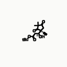 C#C[C@@]1([C@@H](O)CC(=O)OC(C)(C)C)CC(=O)C(C)(C)C1=O